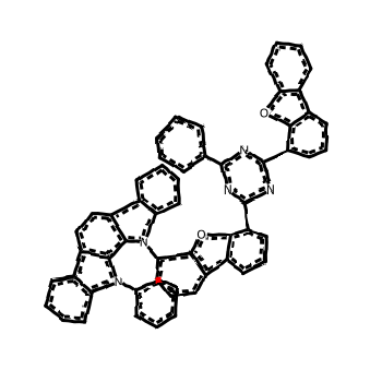 c1ccc(-c2nc(-c3cccc4c3oc3ccccc34)nc(-c3cccc4c3oc3c(-n5c6ccccc6c6ccc7c8ccccc8n(-c8ccccc8)c7c65)cccc34)n2)cc1